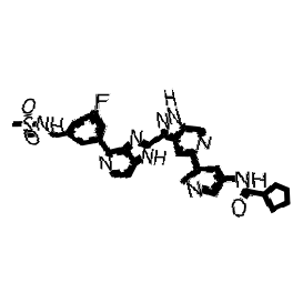 CS(=O)(=O)NCc1cc(F)cc(-c2nccc3[nH]c(-c4n[nH]c5cnc(-c6cncc(NC(=O)C7CCCC7)c6)cc45)nc23)c1